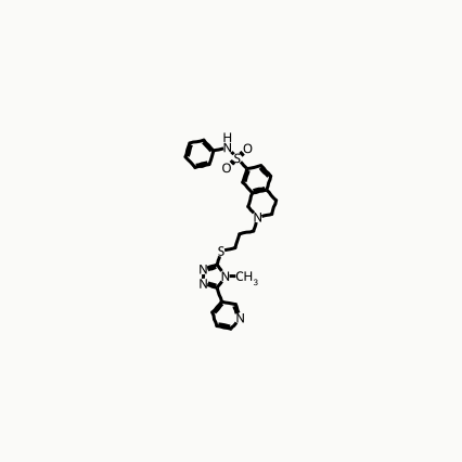 Cn1c(SCCCN2CCc3ccc(S(=O)(=O)Nc4ccccc4)cc3C2)nnc1-c1cccnc1